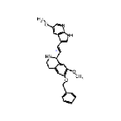 COc1cnc2[nH]cc(/C=C/C3NCCc4cc(OCc5ccccc5)c(OC)cc43)c2c1